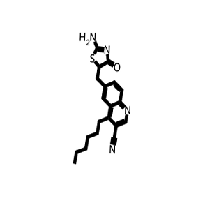 CCCCCCc1c(C#N)cnc2ccc(CC3SC(N)=NC3=O)cc12